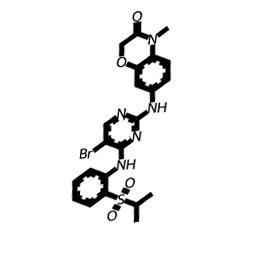 CC(C)S(=O)(=O)c1ccccc1Nc1nc(Nc2ccc3c(c2)OCC(=O)N3C)ncc1Br